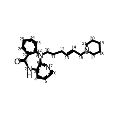 O=C1Nc2cccnc2N(CCC/C=C/CN2CCCCC2)c2ccccc21